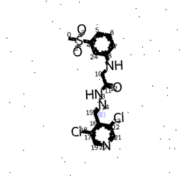 CS(=O)(=O)c1cccc(NCC(=O)N/N=C/c2c(Cl)cncc2Cl)c1